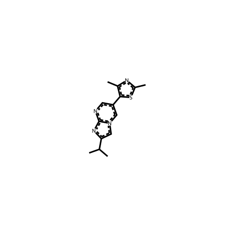 Cc1nc(C)c(-c2cnc3nc(C(C)C)cn3c2)s1